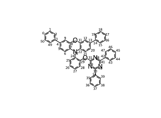 c1ccc(-c2ccc3c(c2)Oc2cc(-c4ccccc4)ccc2N3c2ccccc2Oc2nc(-c3ccccc3)nc(-c3ccccc3)n2)cc1